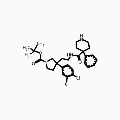 CC(C)(C)OC(=O)N1CCC(CCNC(=O)C2(c3ccccc3)CCNCC2)(c2ccc(Cl)c(Cl)c2)C1